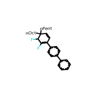 CCCCCCCCC1(CCCCC)C=CC(c2ccc(-c3ccccc3)cc2)=C(F)C1F